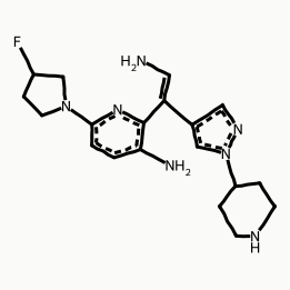 N/C=C(/c1cnn(C2CCNCC2)c1)c1nc(N2CCC(F)C2)ccc1N